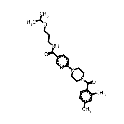 Cc1ccc(C(=O)N2CCN(c3ccc(C(=O)NCCCOC(C)C)cn3)CC2)c(C)c1